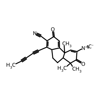 [C-]#[N+]C1=CC2(C)C3=CC(=O)C(C#N)=C(C#CC#CC)C3CCC2C(C)(C)C1=O